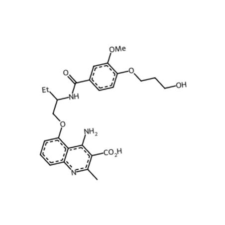 CCC(COc1cccc2nc(C)c(C(=O)O)c(N)c12)NC(=O)c1ccc(OCCCO)c(OC)c1